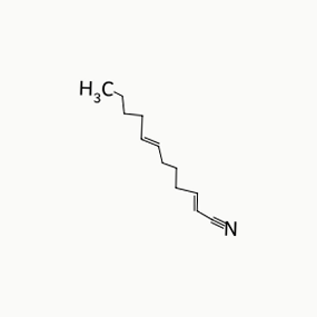 CCCCC=CCCCC=CC#N